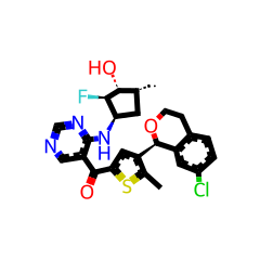 [CH2][C@@H]1C[C@@H](Nc2ncncc2C(=O)c2cc([C@H]3OCCc4ccc(Cl)cc43)c(C)s2)[C@@H](F)[C@@H]1O